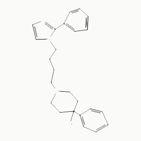 OC1(c2ccccc2)CCN(CCCCn2ccnc2-c2ccccc2)CC1